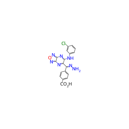 NN=C(c1ccc(C(=O)O)cc1)c1nc2nonc2nc1Nc1cccc(Cl)c1